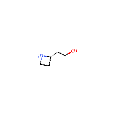 OCC[C@@H]1CCN1